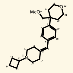 COCC1(c2ccc(C=C3CCN(C4CCC4)CC3)cc2)CCOCC1